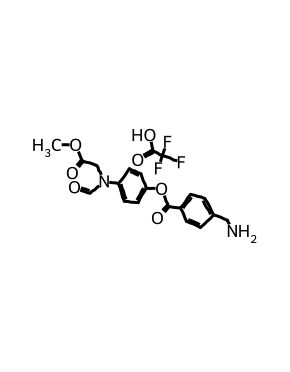 COC(=O)CN(C=O)c1ccc(OC(=O)c2ccc(CN)cc2)cc1.O=C(O)C(F)(F)F